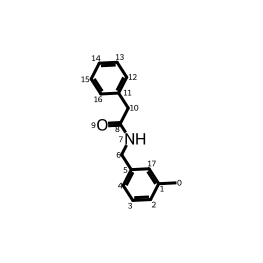 Cc1cccc(CNC(=O)Cc2ccccc2)c1